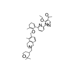 CCOc1c(C(C)=O)cnn1-c1cccc(C2=CCCC(C)=C2OCc2ccc3c(c2C)CCN(CC2CCOC(C)(C)C2)C3)n1